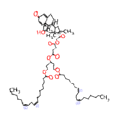 CCCCC/C=C\C/C=C\CCCCCCCC(=O)OCCC(CCOC(=O)CCCCCC/C=C\C/C=C\CCCCCC)OC(=O)CCC(=O)OCC(=O)[C@H]1[C@H](C)CC2[C@@H]3CCC4=CC(=O)C=C[C@]4(C)C3[C@@H](O)C[C@@]21C